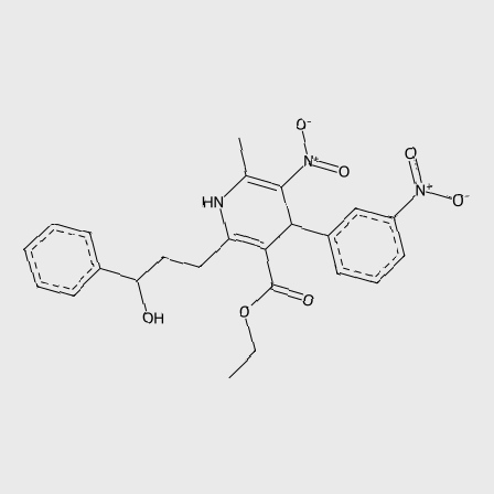 CCOC(=O)C1=C(CCC(O)c2ccccc2)NC(C)=C([N+](=O)[O-])C1c1cccc([N+](=O)[O-])c1